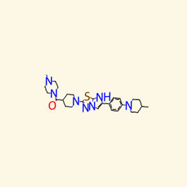 CC1CCN(c2ccc(C3=CN4N=C(N5CCC(C(=O)N6CCN(C)CC6)CC5)SC4N3)cc2)CC1